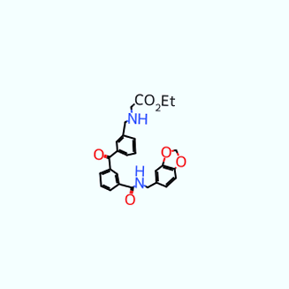 CCOC(=O)CNCc1cccc(C(=O)c2cccc(C(=O)NCc3ccc4c(c3)OCO4)c2)c1